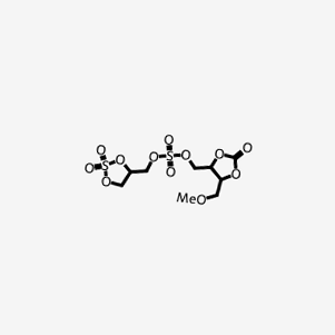 COCC1OC(=O)OC1COS(=O)(=O)OCC1COS(=O)(=O)O1